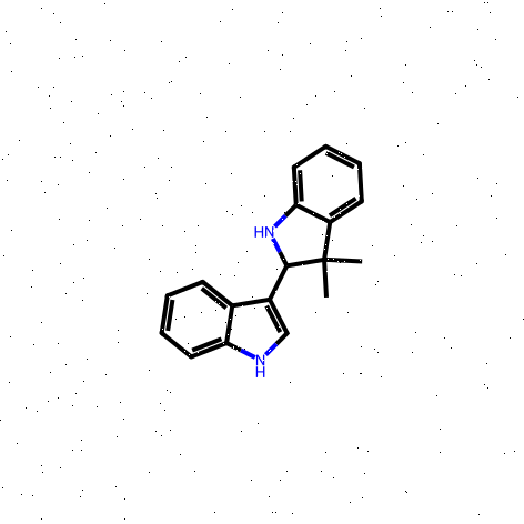 CC1(C)c2ccccc2NC1c1c[nH]c2ccccc12